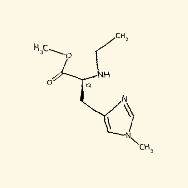 CCN[C@@H](Cc1cn(C)cn1)C(=O)OC